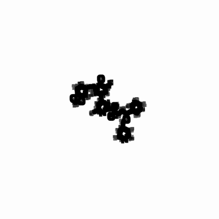 Cc1cc(-c2cc(F)c(=O)n(Cc3ccc4c(c3)OCO4)c2)nc(S(=O)(=O)CCC(OCc2ccncc2)c2ccccc2)n1